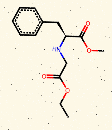 CCOC(=O)CN[C@@H](Cc1ccccc1)C(=O)OC